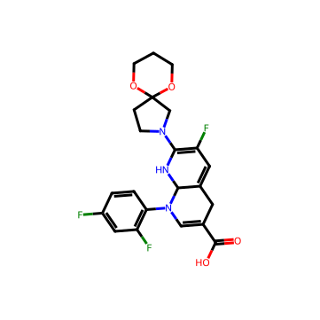 O=C(O)C1=CN(c2ccc(F)cc2F)C2NC(N3CCC4(C3)OCCCO4)=C(F)C=C2C1